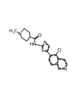 CN1CCC(C(=O)Nc2ncc(-c3ccc4cnccc4c3Cl)s2)CC1